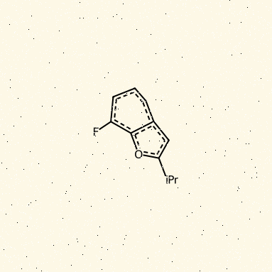 CC(C)c1cc2cccc(F)c2o1